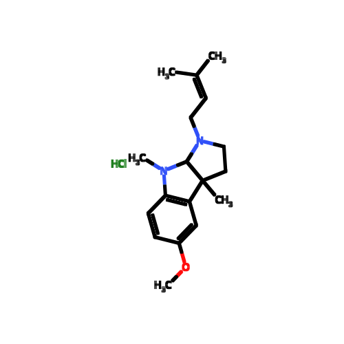 COc1ccc2c(c1)C1(C)CCN(CC=C(C)C)C1N2C.Cl